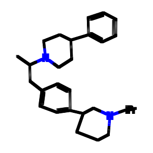 CC(C)N1CCCC(c2ccc(CC(C)N3CCC(c4ccccc4)CC3)cc2)C1